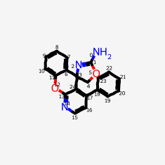 NC1=NC2(CO1)c1ccccc1Oc1nccc(-c3ccccc3)c12